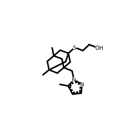 Cc1ccnn1CC12CC3(C)CC(C)(C1)CC(SCCO)(C3)C2